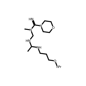 CCCOCCCNC(C)NCN(C)C(=N)N1CCOCC1